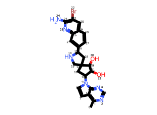 Cc1ncnc2c1ccn2C1CC2(CNC(c3ccc4cc(Br)c(N)nc4c3)C2)C(O)C1O